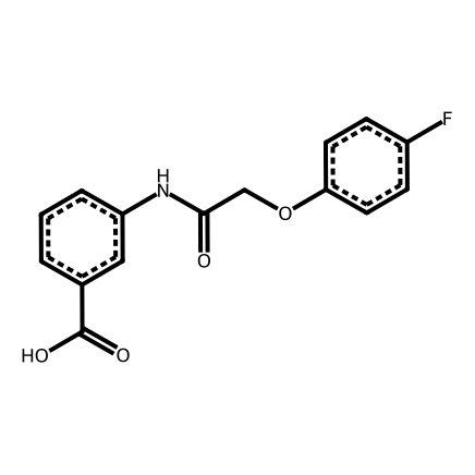 O=C(COc1ccc(F)cc1)Nc1cccc(C(=O)O)c1